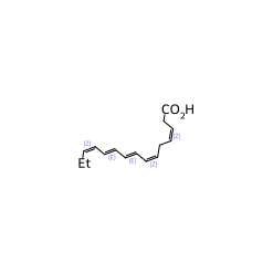 CC\C=C/C=C/C=C/C=C\C/C=C\CC(=O)O